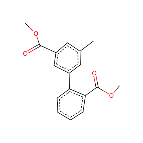 COC(=O)c1cc(C)cc(-c2ccccc2C(=O)OC)c1